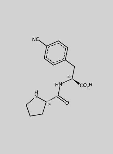 N#Cc1ccc(C[C@H](NC(=O)[C@@H]2CCCN2)C(=O)O)cc1